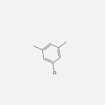 Cc1[c]c(C)cc(Cl)c1